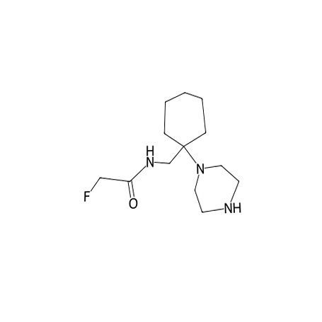 O=C(CF)NCC1(N2CCNCC2)CCCCC1